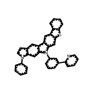 c1ccc(-n2ccc3cc4c5cc6c(cc5n(-c5cccc(-c7ccccn7)c5)c4cc32)sc2ccccc26)cc1